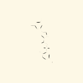 CCOc1ccc(Cl)c(S(=O)(=O)NC(=O)c2cn(-c3cc(F)cc(Cl)c3)cn2)c1